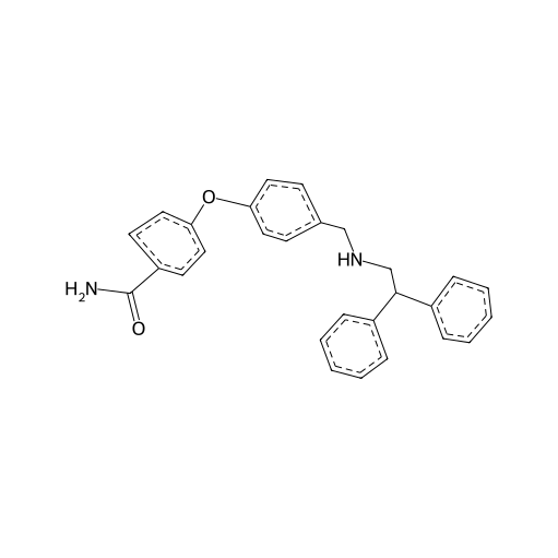 NC(=O)c1ccc(Oc2ccc(CNCC(c3ccccc3)c3ccccc3)cc2)cc1